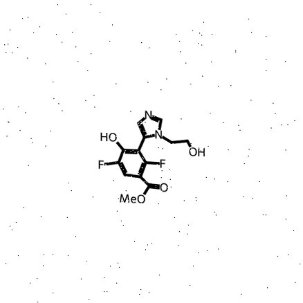 COC(=O)c1cc(F)c(O)c(-c2cncn2CCO)c1F